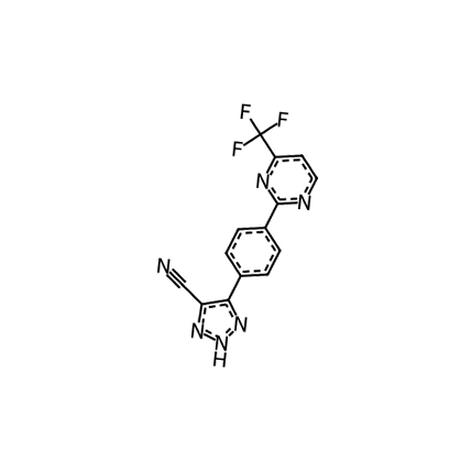 N#Cc1n[nH]nc1-c1ccc(-c2nccc(C(F)(F)F)n2)cc1